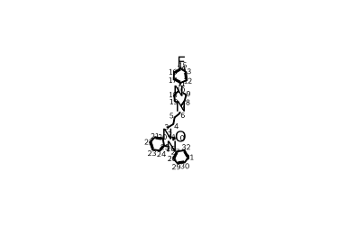 O=c1n(CCCCN2CCN(c3ccc(F)cc3)CC2)c2ccccc2n1-c1ccccc1